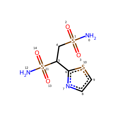 NS(=O)(=O)CC(c1nccs1)S(N)(=O)=O